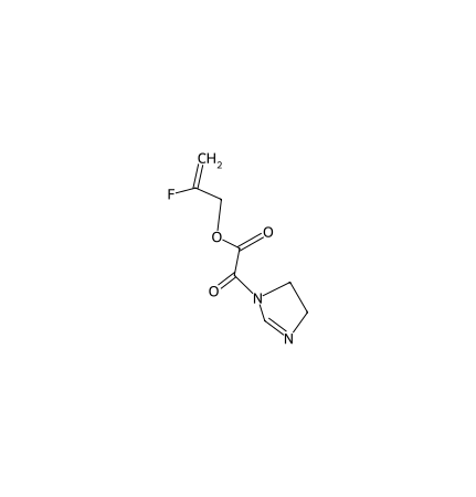 C=C(F)COC(=O)C(=O)N1C=NCC1